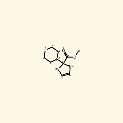 COC(=O)C1(N2CCOCC2)NC=CS1